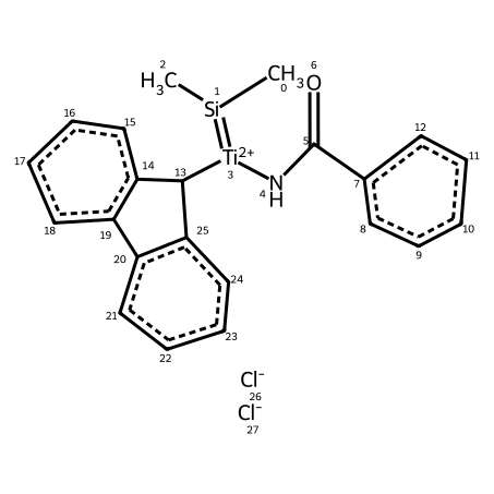 C[Si](C)=[Ti+2]([NH]C(=O)c1ccccc1)[CH]1c2ccccc2-c2ccccc21.[Cl-].[Cl-]